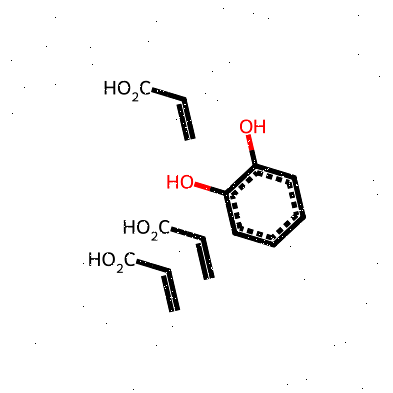 C=CC(=O)O.C=CC(=O)O.C=CC(=O)O.Oc1ccccc1O